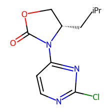 CC(C)C[C@H]1COC(=O)N1c1ccnc(Cl)n1